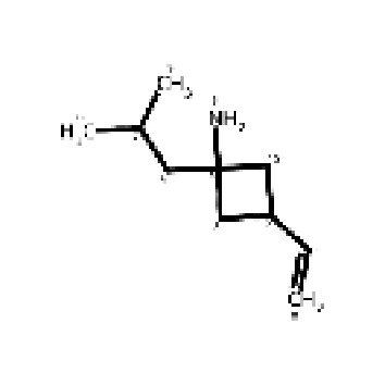 C=CC1CC(N)(CC(C)C)C1